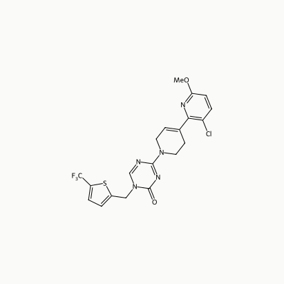 COc1ccc(Cl)c(C2=CCN(c3ncn(Cc4ccc(C(F)(F)F)s4)c(=O)n3)CC2)n1